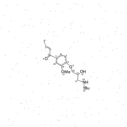 CC=CC(=O)c1ccc(OCC(O)CNC(C)(C)C)c(OC)c1